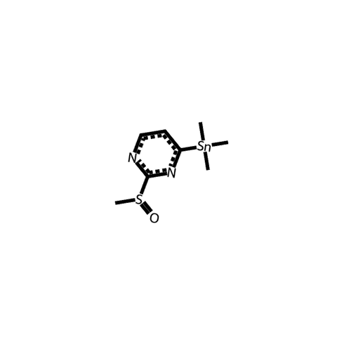 CS(=O)c1ncc[c]([Sn]([CH3])([CH3])[CH3])n1